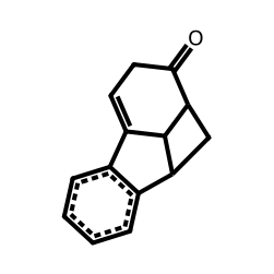 O=C1CC=C2c3ccccc3C3CC1C23